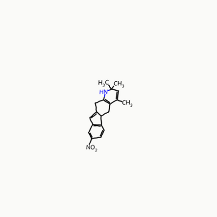 CC1=CC(C)(C)NC2=C1CC1C(=Cc3cc([N+](=O)[O-])ccc31)C2